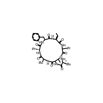 C/C=C1\NC(=O)C(Cc2ccccc2)NC(=O)[C@H](C(C)C)NC(=O)C(C(C)CC)NC(=O)C(NC(=O)C(N)C(C)CC)C(C)OC(=O)C(C(C)C)NC1=O